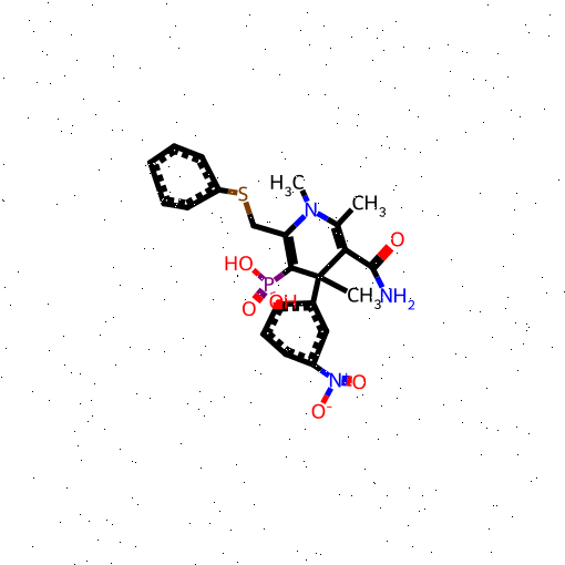 CC1=C(C(N)=O)C(C)(c2cccc([N+](=O)[O-])c2)C(P(=O)(O)O)=C(CSc2ccccc2)N1C